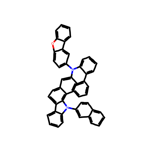 c1ccc(-c2ccccc2N(c2ccc3c(ccc4c5ccccc5n(-c5ccc6ccccc6c5)c34)c2)c2ccc3oc4ccccc4c3c2)cc1